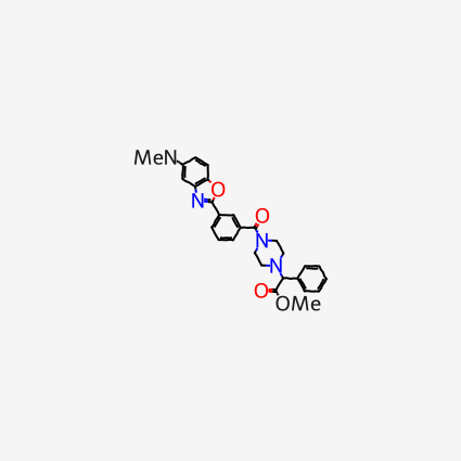 CNc1ccc2oc(-c3cccc(C(=O)N4CCN(C(C(=O)OC)c5ccccc5)CC4)c3)nc2c1